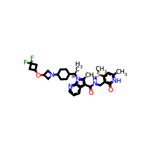 CSc1cc(C)[nH]c(=O)c1CNC(=O)c1c(C)n([C@H](C)C2CCC(N3CC(OC4CC(F)(F)C4)C3)CC2)c2ncccc12